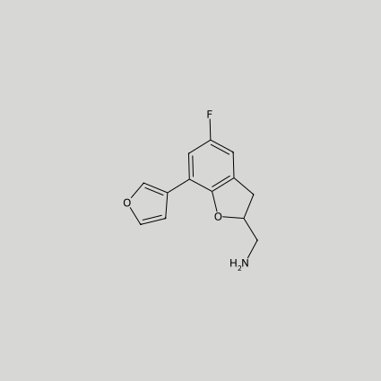 NCC1Cc2cc(F)cc(-c3ccoc3)c2O1